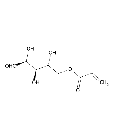 C=CC(=O)OC[C@@H](O)[C@@H](O)[C@H](O)C=O